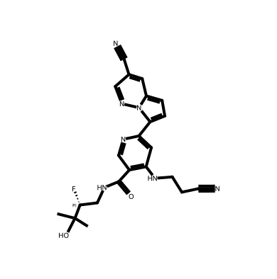 CC(C)(O)[C@H](F)CNC(=O)c1cnc(-c2ccc3cc(C#N)cnn23)cc1NCCC#N